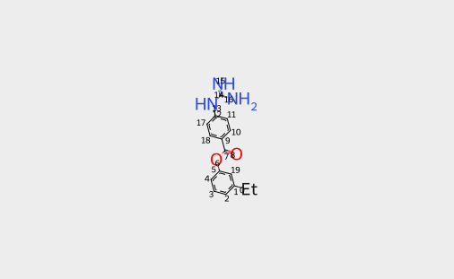 CCc1cccc(OC(=O)c2ccc(NC(=N)N)cc2)c1